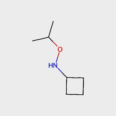 CC(C)ONC1CCC1